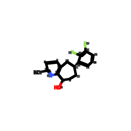 N#Cc1ccc2c(n1)[C@H](O)CC[C@@H](c1cccc(F)c1F)C2